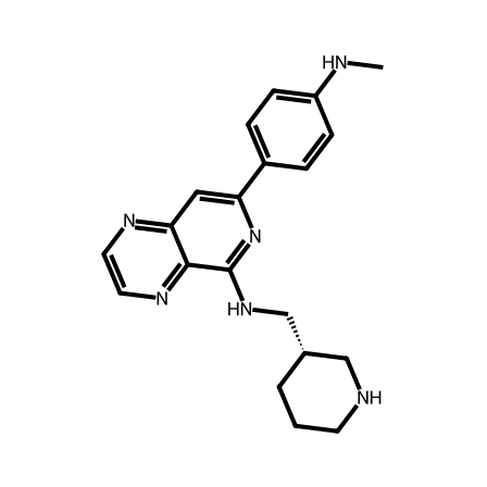 CNc1ccc(-c2cc3nccnc3c(NC[C@H]3CCCNC3)n2)cc1